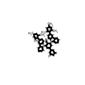 Cc1cc(C)c(-c2ccc3c(c2)c2ccccc2n3-c2cc(-c3cc(F)cc(F)c3)cc(-n3c4ccccc4c4cc(-c5c(C)cc(C)cc5C)ccc43)c2C#N)c(C)c1